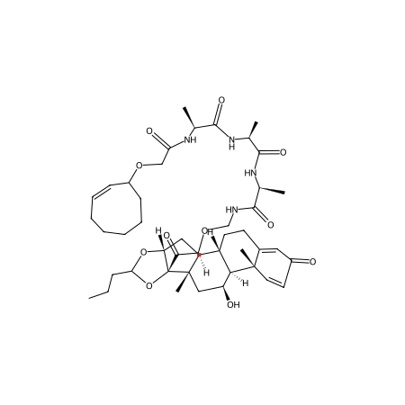 CCCC1O[C@@H]2C[C@H]3[C@@H]4CCC5=CC(=O)C=C[C@]5(C)[C@H]4[C@@H](O)C[C@]3(C)[C@]2(C(=O)COCNC(=O)[C@H](C)NC(=O)[C@H](C)NC(=O)[C@H](C)NC(=O)COC2/C=C\CCCCC2)O1